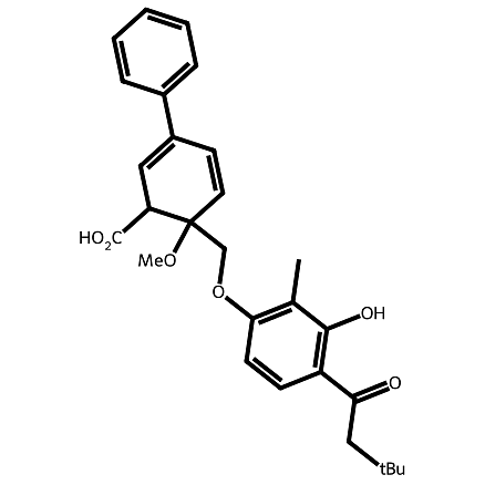 COC1(COc2ccc(C(=O)CC(C)(C)C)c(O)c2C)C=CC(c2ccccc2)=CC1C(=O)O